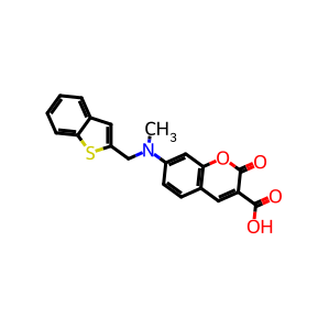 CN(Cc1cc2ccccc2s1)c1ccc2cc(C(=O)O)c(=O)oc2c1